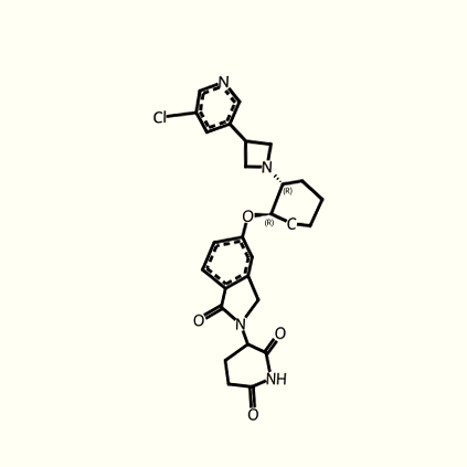 O=C1CCC(N2Cc3cc(O[C@@H]4CCCC[C@H]4N4CC(c5cncc(Cl)c5)C4)ccc3C2=O)C(=O)N1